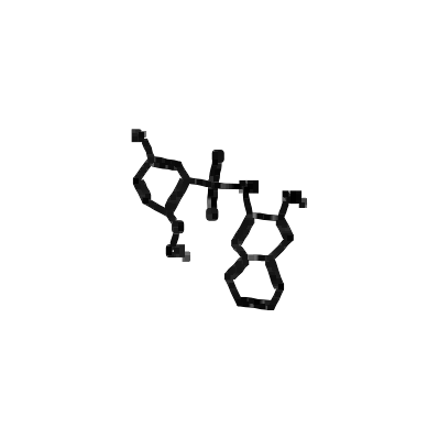 COc1ccc(Br)cc1S(=O)(=O)Nc1cc2ccccc2cc1N